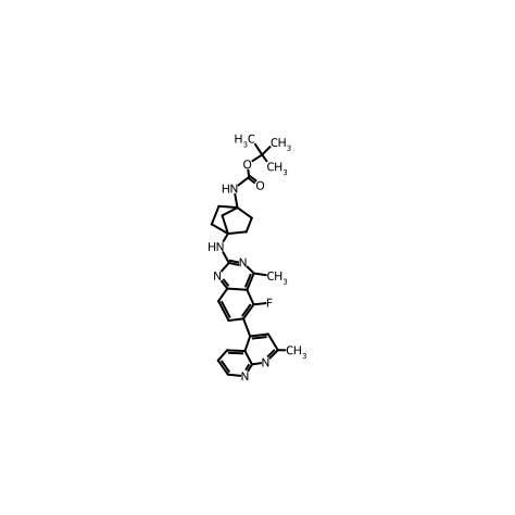 Cc1cc(-c2ccc3nc(NC45CCC(NC(=O)OC(C)(C)C)(CC4)C5)nc(C)c3c2F)c2cccnc2n1